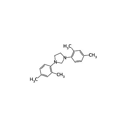 Cc1ccc(N2CCN(c3ccc(C)cc3C)C2)c(C)c1